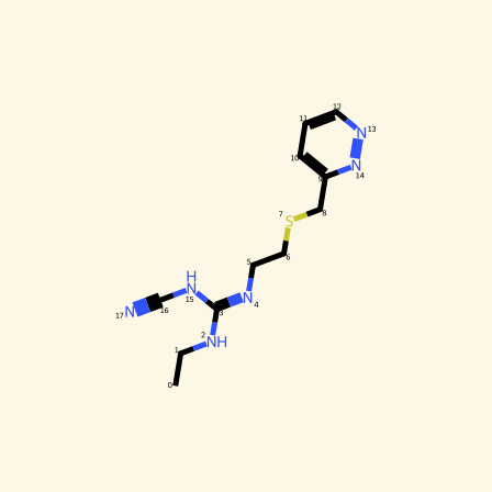 CCN/C(=N/CCSCc1cccnn1)NC#N